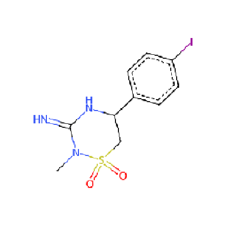 CN1C(=N)NC(c2ccc(I)cc2)CS1(=O)=O